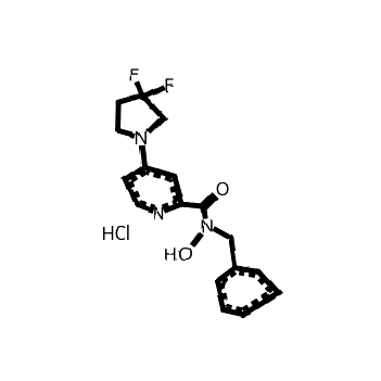 Cl.O=C(c1cc(N2CCC(F)(F)C2)ccn1)N(O)Cc1ccccc1